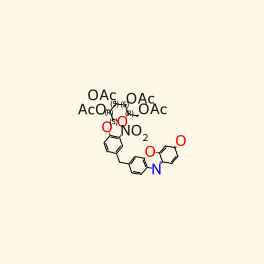 CC(=O)OC[C@H]1O[C@@H](Oc2ccc(Cc3ccc4nc5ccc(=O)cc-5oc4c3)cc2[N+](=O)[O-])[C@H](OC(C)=O)[C@@H](OC(C)=O)[C@H]1OC(C)=O